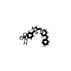 O=c1[nH]c2ccc(C3=NCC(CN4CCC(Cc5ccccc5)CC4)S3)cc2o1